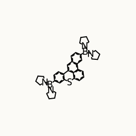 c1cc2c3c(cc4ccc(B(N5CCCC5)N5CCCC5)cc4c3c1)-c1ccc(B(N3CCCC3)N3CCCC3)cc1S2